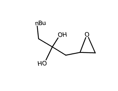 CCCCCC(O)(O)CC1CO1